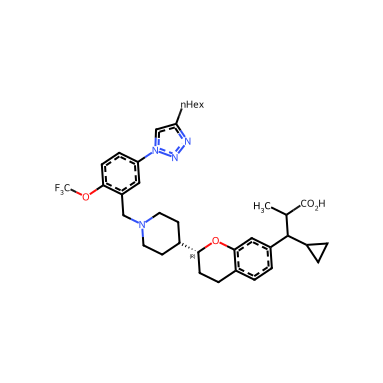 CCCCCCc1cn(-c2ccc(OC(F)(F)F)c(CN3CCC([C@H]4CCc5ccc(C(C6CC6)C(C)C(=O)O)cc5O4)CC3)c2)nn1